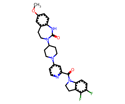 COc1ccc2c(c1)CCN(C1CCN(c3ccnc(C(=O)N4CCc5c4ccc(F)c5F)c3)CC1)C(=O)N2